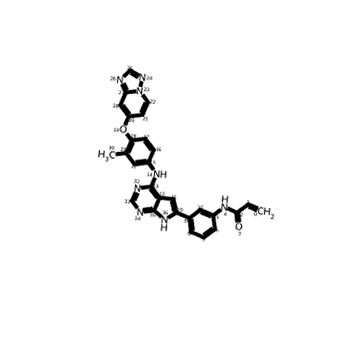 C=CC(=O)Nc1cccc(-c2cc3c(Nc4ccc(Oc5ccn6ncnc6c5)c(C)c4)ncnc3[nH]2)c1